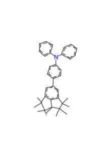 CC1(C)c2cc(-c3ccc(N(c4ccccc4)c4ccccc4)cc3)cc3c2C(C)(C1(C)C)C(C)(C)C3(C)C